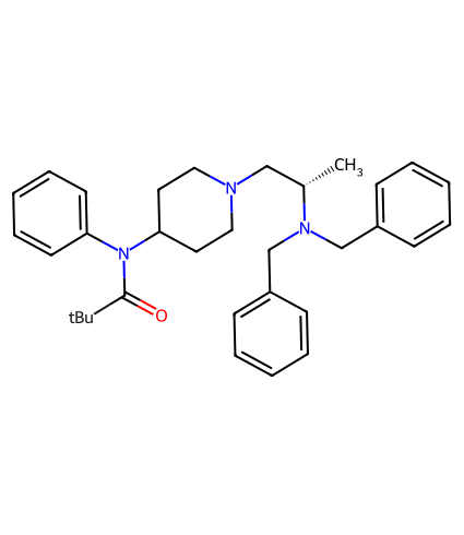 C[C@@H](CN1CCC(N(C(=O)C(C)(C)C)c2ccccc2)CC1)N(Cc1ccccc1)Cc1ccccc1